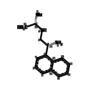 CC(C)(C)[C@H](NC[C@H](N)c1cccc2ccccc12)C(=O)O